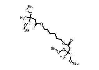 CC(C)(C)OOC(C)(CC(=O)OCCCCCCOC(=O)CC(C)(OOC(C)(C)C)OOC(C)(C)C)OOC(C)(C)C